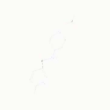 CC(C)(C)C(=O)ON1CCC(NC(=O)c2ccc(Cl)nc2)CC1